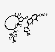 COc1ccc2c(OC3CC4C(=O)NC(C(=O)NS(=O)(=O)C5CC5)CCC=CCCCCN(C)C(=O)C4C3)cc(-c3nc(C(C)C)cs3)nc2c1C